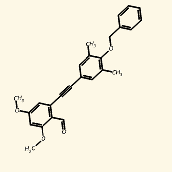 COc1cc(C#Cc2cc(C)c(OCc3ccccc3)c(C)c2)c(C=O)c(OC)c1